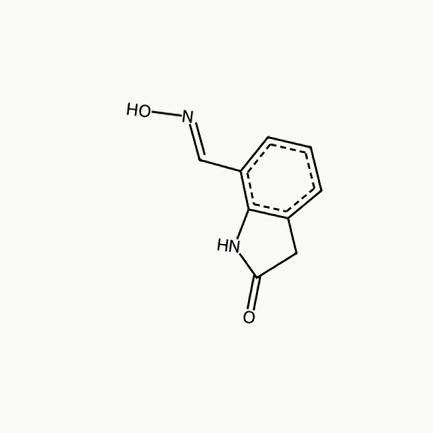 O=C1Cc2cccc(/C=N/O)c2N1